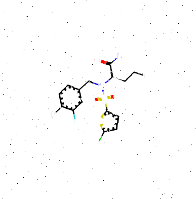 Bc1ccc(CN([C@H](CCC(F)(F)F)C(N)=O)S(=O)(=O)c2ccc(Cl)s2)cc1F